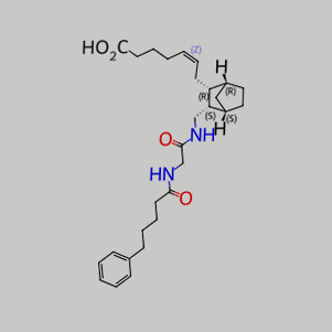 O=C(O)CCC/C=C\C[C@@H]1[C@@H]2CC[C@@H](C2)[C@@H]1CNC(=O)CNC(=O)CCCCc1ccccc1